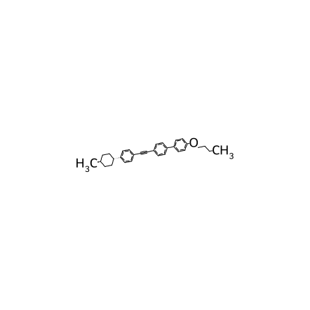 CCCCOc1ccc(-c2ccc(C#Cc3ccc([C@H]4CC[C@H](C)CC4)cc3)cc2)cc1